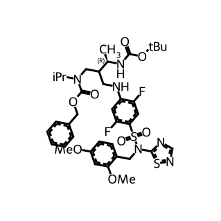 COc1ccc(CN(c2ncns2)S(=O)(=O)c2cc(F)c(NCC(CN(C(=O)OCc3ccccc3)C(C)C)[C@@H](C)NC(=O)OC(C)(C)C)cc2F)c(OC)c1